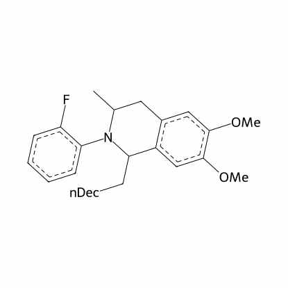 CCCCCCCCCCCC1c2cc(OC)c(OC)cc2CC(C)N1c1ccccc1F